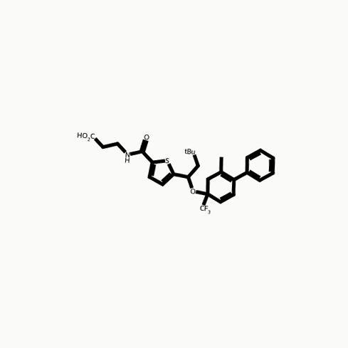 CC1=C(c2ccccc2)C=CC(OC(CC(C)(C)C)c2ccc(C(=O)NCCC(=O)O)s2)(C(F)(F)F)C1